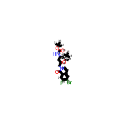 C[C@@H](CC(Cn1ccc2cc(Br)c(F)cc2c1=O)O[Si](C)(C)C(C)(C)C)NC(=O)OC(C)(C)C